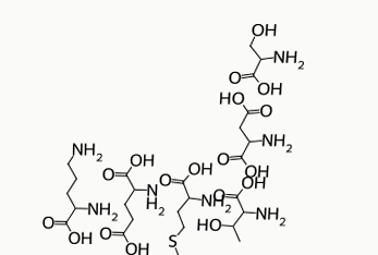 CC(O)C(N)C(=O)O.CSCCC(N)C(=O)O.NC(CC(=O)O)C(=O)O.NC(CCC(=O)O)C(=O)O.NC(CO)C(=O)O.NCCCC(N)C(=O)O